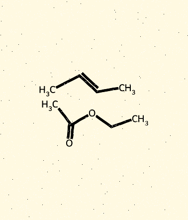 CC=CC.CCOC(C)=O